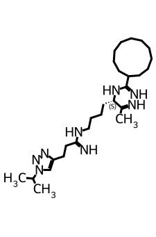 CC(=N)[C@H](CCCCNC(=N)CCc1cn(C(C)C)nn1)NC(=N)C1CCCCCCCCCC1